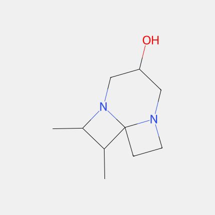 CC1C(C)C23CCN2CC(O)CN13